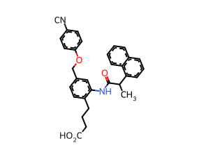 [C-]#[N+]c1ccc(OCc2ccc(CCCC(=O)O)c(NC(=O)C(C)c3cccc4ccccc34)c2)cc1